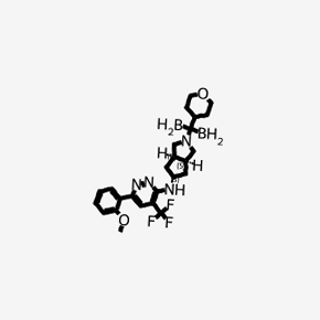 BC(B)(C1CCOCC1)N1C[C@H]2C[C@H](Nc3nnc(-c4ccccc4OC)cc3C(F)(F)F)C[C@H]2C1